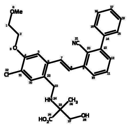 COCCOc1cc(C=Cc2cccc(-c3ccccc3)c2C#N)c(CNC(C)(CO)C(=O)O)cc1Cl